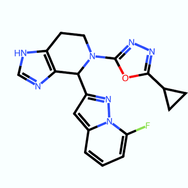 Fc1cccc2cc(C3c4nc[nH]c4CCN3c3nnc(C4CC4)o3)nn12